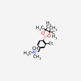 CCc1cc(C[N+](C)(C)C)ccc1B1OC(C)(C)C(C)(C)O1